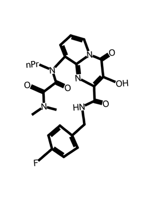 CCCN(C(=O)C(=O)N(C)C)c1cccn2c(=O)c(O)c(C(=O)NCc3ccc(F)cc3)nc12